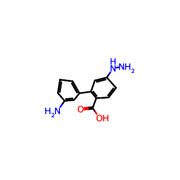 NNc1ccc(C(=O)O)c(-c2cccc(N)c2)c1